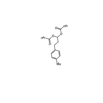 CCCC(=O)OC(CCc1ccc(C(C)(C)C)cc1)OC(=O)CCC